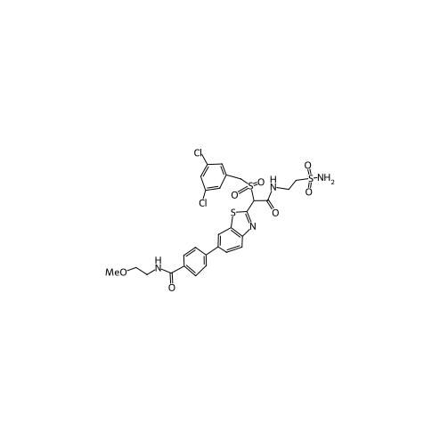 COCCNC(=O)c1ccc(-c2ccc3nc(C(C(=O)NCCS(N)(=O)=O)S(=O)(=O)Cc4cc(Cl)cc(Cl)c4)sc3c2)cc1